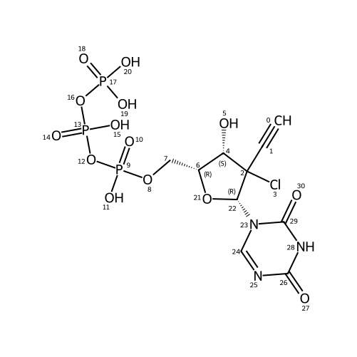 C#CC1(Cl)[C@@H](O)[C@@H](COP(=O)(O)OP(=O)(O)OP(=O)(O)O)O[C@H]1n1cnc(=O)[nH]c1=O